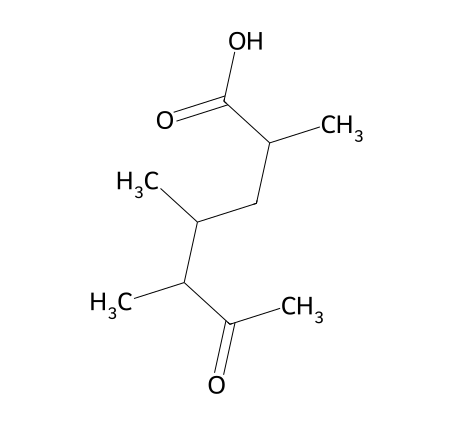 CC(=O)C(C)C(C)CC(C)C(=O)O